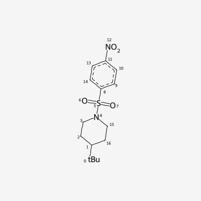 CC(C)(C)C1CCN(S(=O)(=O)c2ccc([N+](=O)[O-])cc2)CC1